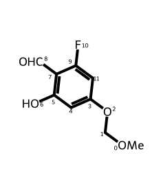 COCOc1cc(O)c(C=O)c(F)c1